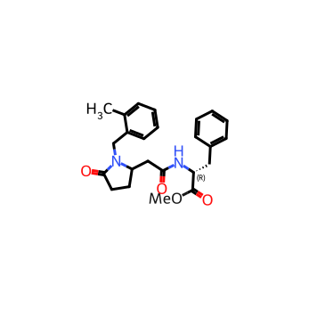 COC(=O)[C@@H](Cc1ccccc1)NC(=O)CC1CCC(=O)N1Cc1ccccc1C